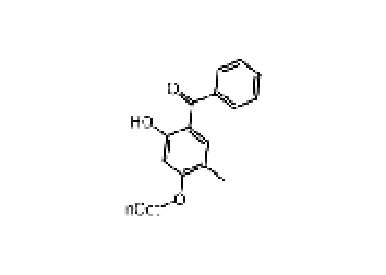 CCCCCCCCOc1cc(O)c(C(=O)c2ccccc2)cc1C